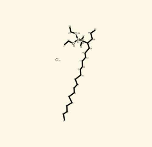 CCCCCCCCCCCCCCCCCC(CCC)[N+](C)(C)[SiH](OCC)OCC.[Cl-]